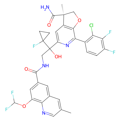 Cc1cnc2c(OC(F)F)cc(C(=O)NCC(O)(c3cc4c(c(-c5ccc(F)c(F)c5Cl)n3)OC[C@]4(C)C(N)=O)C3(F)CC3)cc2c1